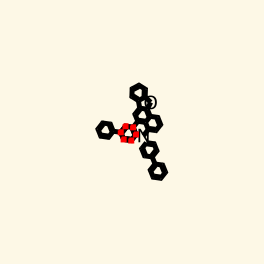 c1ccc(-c2ccc(N(c3ccc(-c4ccccc4)cc3)c3cccc4c3c(-c3ccccc3)cc3c5ccccc5oc43)cc2)cc1